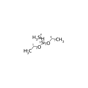 CCO[SiH]([SiH3])OCC